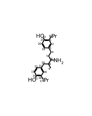 CC(C)c1cc(CCC(N)C(C)Cc2ccc(O)c(C(C)C)c2)ccc1O